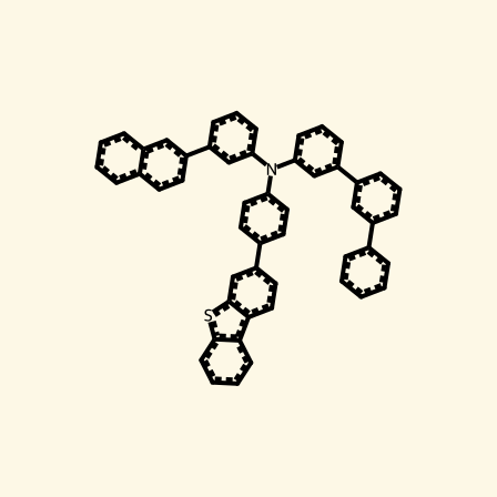 c1ccc(-c2cccc(-c3cccc(N(c4ccc(-c5ccc6c(c5)sc5ccccc56)cc4)c4cccc(-c5ccc6ccccc6c5)c4)c3)c2)cc1